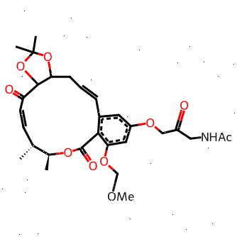 COCOc1cc(OCC(=O)CNC(C)=O)cc2c1C(=O)O[C@@H](C)[C@H](C)/C=C\C(=O)C1OC(C)(C)OC1C/C=C/2